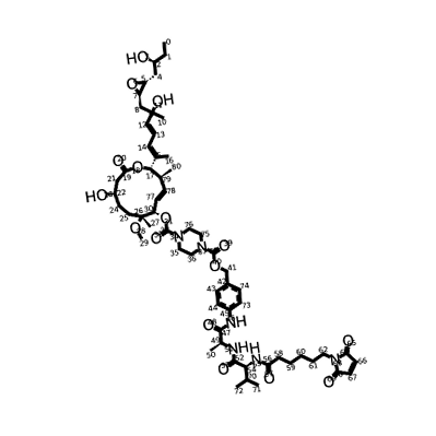 CC[C@H](O)C[C@H]1O[C@@H]1CC(C)(O)/C=C/C=C(\C)[C@H]1OC(=O)C[C@H](O)CC[C@@](C)(OC)[C@@H](OC(=O)N2CCN(C(=O)OCc3ccc(NC(=O)[C@H](C)NC(=O)[C@@H](NC(=O)CCCCCN4C(=O)C=CC4=O)C(C)C)cc3)CC2)/C=C/[C@@H]1C